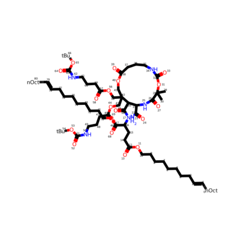 CCCCCCCCC=CCCCCCCCCOC(=O)CCC(NC(=O)C1C(C(N)=O)NC(=O)C(C)(C)OC(=O)NCCCC(=O)OCC1(COC(=O)CCCNC(=O)OC(C)(C)C)COC(=O)CCCNC(=O)OC(C)(C)C)C(=O)OCCCCCCCCC=CCCCCCCCC